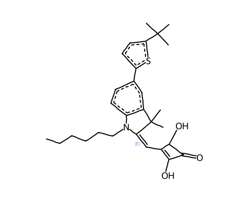 CCCCCCN1/C(=C/C2=C(O)C(=O)C2O)C(C)(C)c2cc(-c3ccc(C(C)(C)C)s3)ccc21